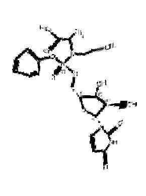 C#C[C@@H]1[C@H](O)[C@@H](CO[P@@](=O)(Oc2ccccc2)N(CCC)C(C)C(=O)O)O[C@H]1n1ccc(=O)[nH]c1=O